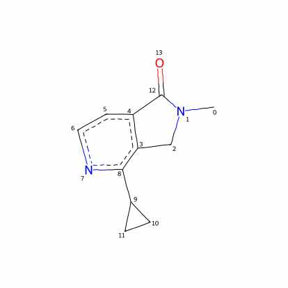 CN1Cc2c(ccnc2C2CC2)C1=O